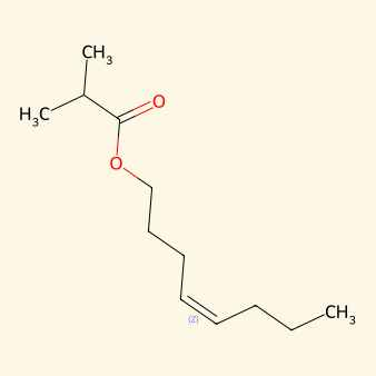 CCC/C=C\CCCOC(=O)C(C)C